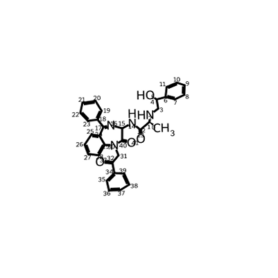 C[C@H](NCC(O)c1ccccc1)C(=O)NC1N=C(c2ccccc2)c2ccccc2N(CC(=O)c2ccccc2)C1=O